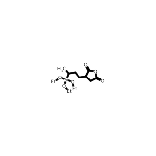 CCO[Si](OCC)(OCC)C(C)CCC1CC(=O)OC1=O